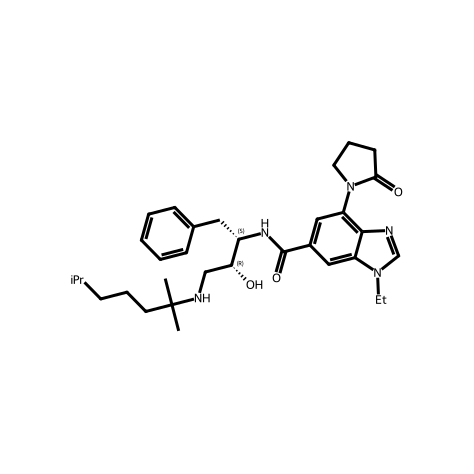 CCn1cnc2c(N3CCCC3=O)cc(C(=O)N[C@@H](Cc3ccccc3)[C@H](O)CNC(C)(C)CCCC(C)C)cc21